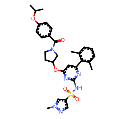 Cc1cccc(C)c1-c1cc(OC2CCN(C(=O)c3ccc(OC(C)C)cc3)C2)nc(NS(=O)(=O)c2cnn(C)c2)n1